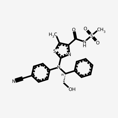 Cc1sc(N(c2ccc(C#N)cc2)[C@@H](CO)c2ccccc2)nc1C(=O)NS(C)(=O)=O